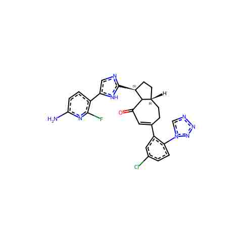 Nc1ccc(-c2cnc([C@H]3CC[C@@H]4CCC(c5cc(Cl)ccc5-n5cnnn5)=CC(=O)C43)[nH]2)c(F)n1